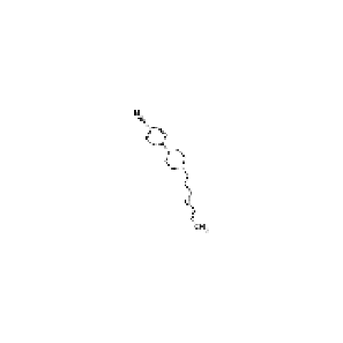 C/C=C/OCCCC1CCC(c2ccc(C#N)cc2)CC1